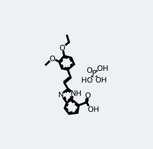 CCOc1ccc(C=Cc2nc3cccc(C(=O)O)c3[nH]2)cc1OC.O=P(O)(O)O